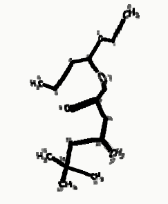 C[CH]OC(CCC)OC(=O)CC(C)CC(C)(C)C